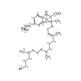 C/C(=C\CSC(C)(C)C(Nc1ncc(C(=O)[O-])cn1)C(=O)[O-])CCCC(C)CCCC(C)CCCC(C)C.[Na+].[Na+]